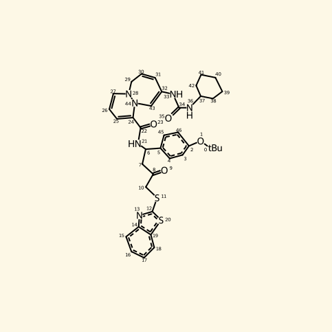 CC(C)(C)Oc1ccc(C(CC(=O)CSc2nc3ccccc3s2)NC(=O)C2=CC=CN3CC=CC(NC(=O)NC4CCCCC4)=CN23)cc1